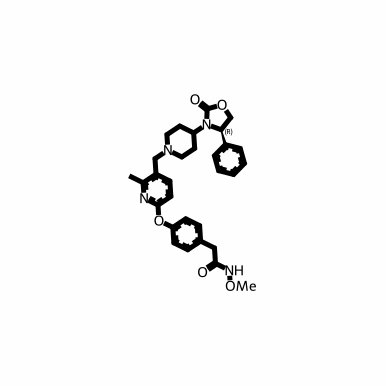 CONC(=O)Cc1ccc(Oc2ccc(CN3CCC(N4C(=O)OC[C@H]4c4ccccc4)CC3)c(C)n2)cc1